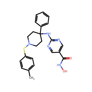 Cc1ccc(SN2CCC(Nc3ncc(C(=O)NO)cn3)(c3ccccc3)CC2)cc1